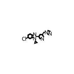 Clc1ccc2nc(-c3cncc(Cn4ccnc4)c3)n(C3CC3)c2c1